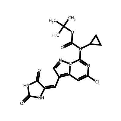 CC(C)(C)OC(=O)N(c1nc(Cl)cc2c(C=C3NC(=O)NC3=O)cnn12)C1CC1